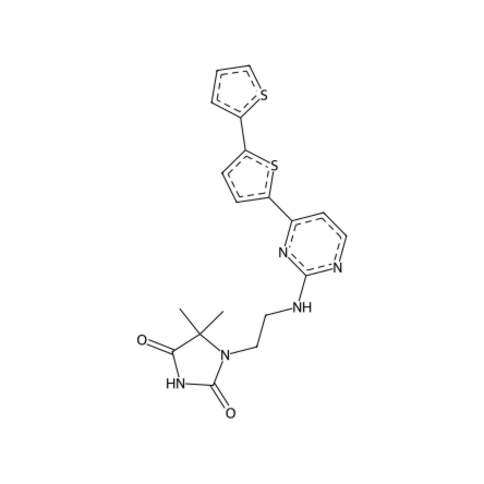 CC1(C)C(=O)NC(=O)N1CCNc1nccc(-c2ccc(-c3cccs3)s2)n1